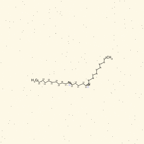 CCCCCCCCCC/N=C\CCC/C=N/CCCCCCCCCC